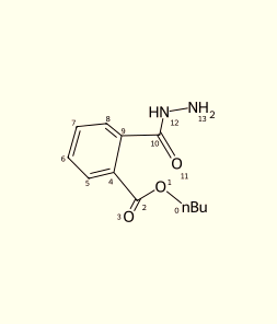 CCCCOC(=O)c1ccccc1C(=O)NN